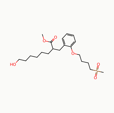 COC(=O)C(CCCCCCO)Cc1ccccc1OCCCCS(C)(=O)=O